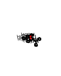 Oc1c(O)c(O)c2c(c1O)c1c(O)c(O)c(O)c(O)c1n2-c1cccc2sc3c(-c4nc(-c5ccccc5)nc(-c5ccccc5)n4)cc(-c4ccccc4)cc3c12